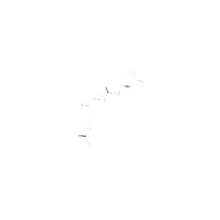 CCC(N)/C=N/NC(=O)NCC(C)CCCC(N)=O